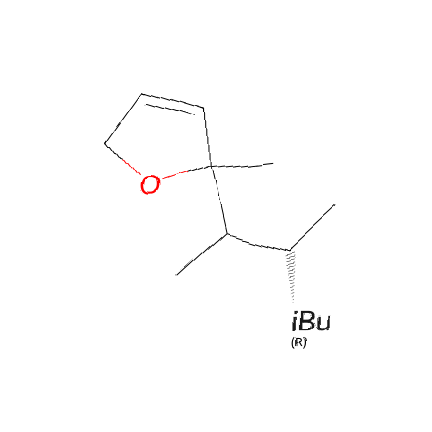 CC[C@@H](C)C(C)C(C)C1(C)C=CCO1